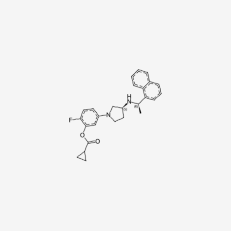 C[C@@H](N[C@H]1CCN(c2ccc(F)c(OC(=O)C3CC3)c2)C1)c1cccc2ccccc12